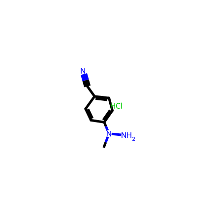 CN(N)c1ccc(C#N)cc1.Cl